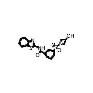 O=C(Nc1nc2ccccc2s1)c1cccc(S(=O)(=O)N2CC(O)C2)c1